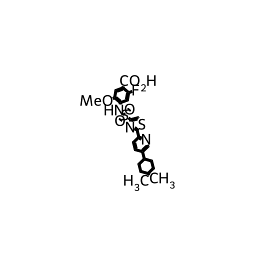 COc1cc(C(=O)O)c(F)cc1NS(=O)(=O)c1csc(-c2ccc(C3CCC(C)(C)CC3)cn2)n1